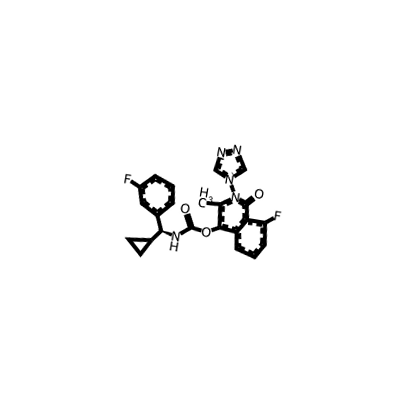 Cc1c(OC(=O)N[C@H](c2cccc(F)c2)C2CC2)c2cccc(F)c2c(=O)n1-n1cnnc1